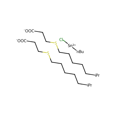 CC(C)CCCCCSCCC(=O)[O-].CC(C)CCCCCSCCC(=O)[O-].CCC[CH2][Sn+2][Cl]